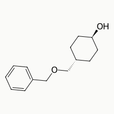 O[C@H]1CC[C@H](COCc2ccccc2)CC1